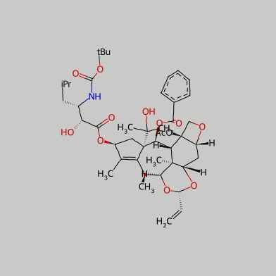 C=C[C@H]1O[C@H]2C[C@H]3OC[C@@]3(OC(C)=O)[C@H]3[C@H](OC(=O)c4ccccc4)[C@]4(C(C)(C)O)C[C@H](OC(=O)[C@H](O)[C@H](CC(C)C)NC(=O)OC(C)(C)C)C(C)=C4[C@H](C)[C@H](O1)[C@]23C